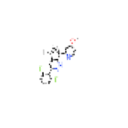 COc1ccnc([C@@]23CC[C@@H](c4cc(-c5c(F)cccc5F)nnc42)C3(C)C)c1